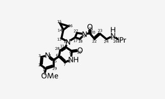 COc1ccnc(-c2c[nH]c(=O)c(N(CC3CC3)C3CN(C(=O)/C=C/CNC(C)C)C3)c2)c1